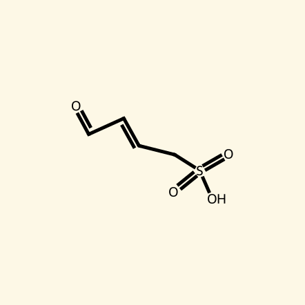 O=CC=CCS(=O)(=O)O